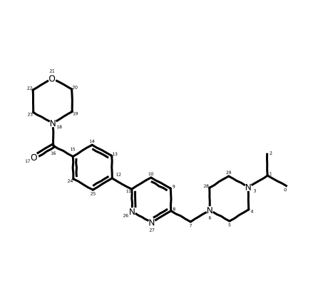 CC(C)N1CCN(Cc2ccc(-c3ccc(C(=O)N4CCOCC4)cc3)nn2)CC1